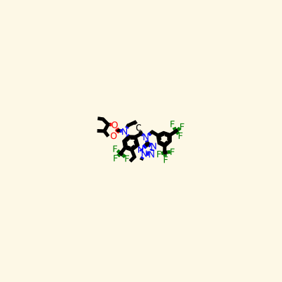 CCc1cc2c(cc1C(F)(F)F)N(C(=O)OC(CC)C(C)C)CCCC2N(Cc1cc(C(F)(F)F)cc(C(F)(F)F)c1)c1nnn(C)n1